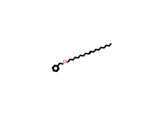 CCCCCCCCC=CCCCCCCCCOCCc1ccccc1